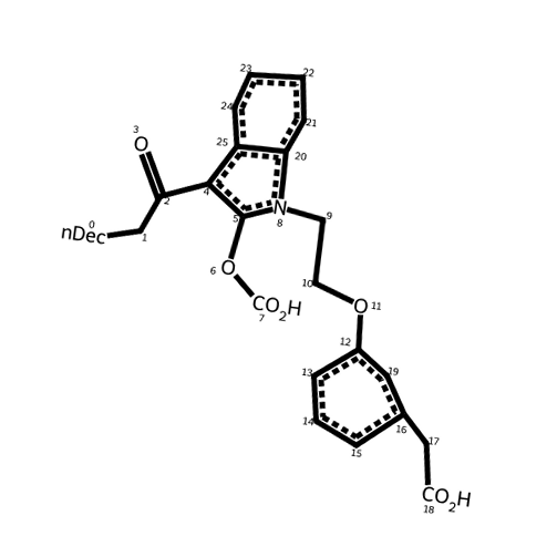 CCCCCCCCCCCC(=O)c1c(OC(=O)O)n(CCOc2cccc(CC(=O)O)c2)c2ccccc12